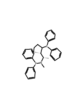 C[C@@H]([C@@H]1CCCC1P(c1ccccc1)c1ccccc1)N(C)P(c1ccccc1)c1ccccc1